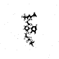 Cc1cc(F)cc([C@@H]2[C@H](OC[C@@H](C)NC(=O)OC(C)(C)C)CCN2C(=O)Cn2nc(C3CC3)cc2C(F)(F)F)c1Cl